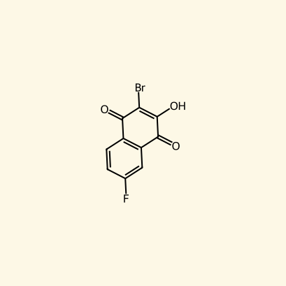 O=C1C(O)=C(Br)C(=O)c2ccc(F)cc21